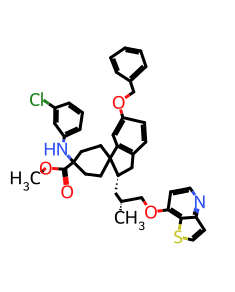 COC(=O)C1(Nc2cccc(Cl)c2)CCC2(CC1)c1cc(OCc3ccccc3)ccc1C[C@@H]2C[C@@H](C)COc1ccnc2ccsc12